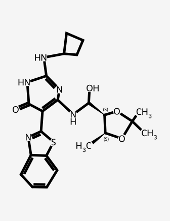 C[C@@H]1OC(C)(C)O[C@@H]1C(O)Nc1nc(NC2CCC2)[nH]c(=O)c1-c1nc2ccccc2s1